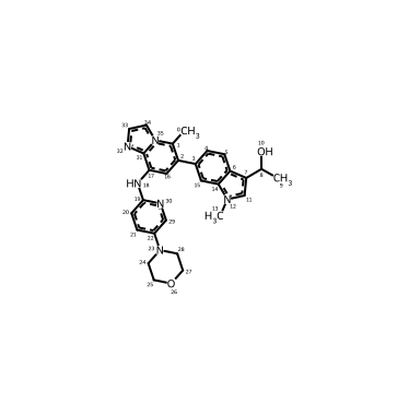 Cc1c(-c2ccc3c(C(C)O)cn(C)c3c2)cc(Nc2ccc(N3CCOCC3)cn2)c2nccn12